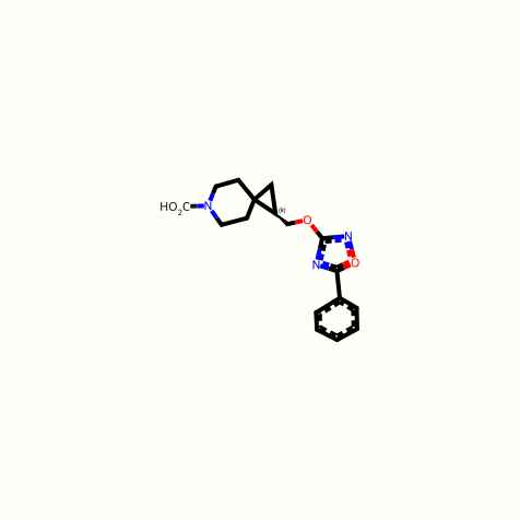 O=C(O)N1CCC2(CC1)C[C@H]2COc1noc(-c2ccccc2)n1